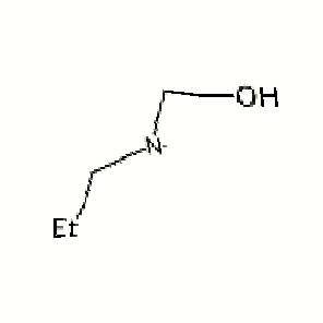 CCC[N]CO